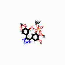 COc1cc(-c2[nH]nnc2-c2cc(OC)c3c(c2)OCO3)cc(OP(=O)([O-])[O-])c1OC.[Na+].[Na+]